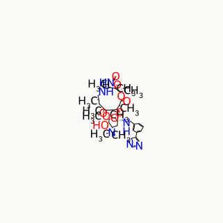 CC[C@@H]1OC(=O)C(C)C(=O)[C@H](C)[C@@H](O[C@@H]2O[C@H](CNCc3cccc(-c4cncnc4)c3)CC(N(C)C)C2O)[C@](C)(OC)C[C@@H](C)CN[C@H](C)[C@H]2NC(=O)O[C@]12C